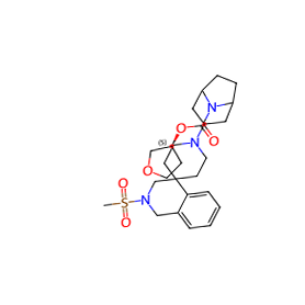 CS(=O)(=O)N1Cc2ccccc2C2(CCN(C3CC4CCC(C3)N4C(=O)O[C@H]3CCOC3)CC2)C1